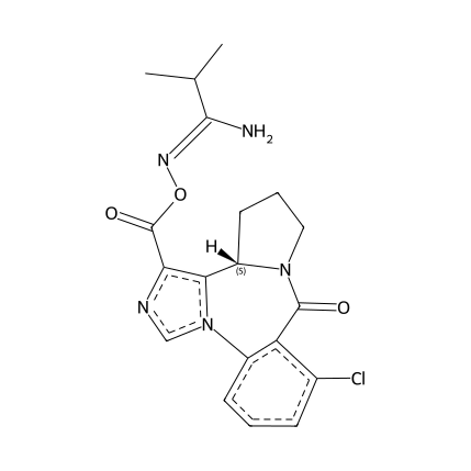 CC(C)C(N)=NOC(=O)c1ncn2c1[C@@H]1CCCN1C(=O)c1c(Cl)cccc1-2